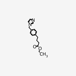 CCOC(=O)CCCc1ccc(Cn2ccnc2)cc1